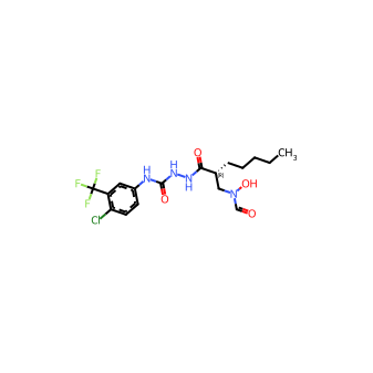 CCCCC[C@H](CN(O)C=O)C(=O)NNC(=O)Nc1ccc(Cl)c(C(F)(F)F)c1